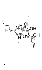 C=CC[C@H](O)[C@H]1O[C@@H]2SC(NCCC)=N[C@@H]2[C@@H](O)[C@@H]1O